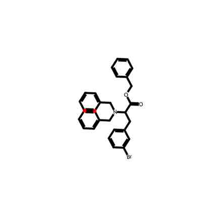 O=C(OCc1ccccc1)C(Cc1cccc(Br)c1)N(Cc1ccccc1)Cc1ccccc1